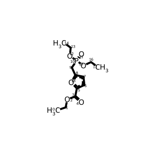 CCOC(=O)c1ccc(CP(=O)(OCC)OCC)o1